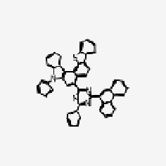 c1ccc(-c2nc(-c3cc4ccccc4c4ccccc34)nc(-c3cc4c(c5ccccc5n4-c4ccccc4)c4c3ccc3c5ccccc5sc34)n2)cc1